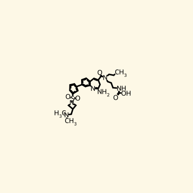 CCCN(CCCNC(=O)O)C(=O)C1=Cc2ccc(-c3cccc(S(=O)(=O)N4CC(CN(C)C)C4)c3)cc2N=C(N)C1